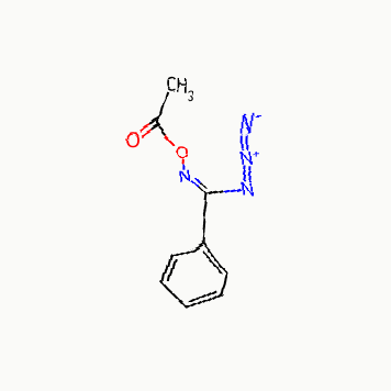 CC(=O)ON=C(N=[N+]=[N-])c1ccccc1